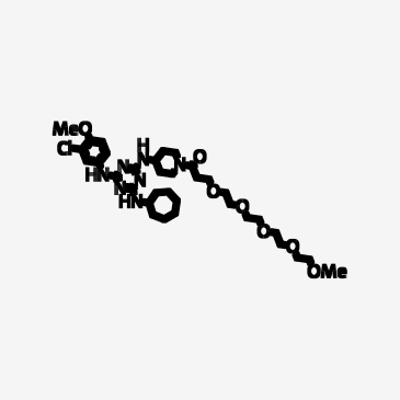 COCCOCCOCCOCCOCCC(=O)N1CCC(Nc2nc(Nc3ccc(OC)c(Cl)c3)nc(NC3CCCCCC3)n2)CC1